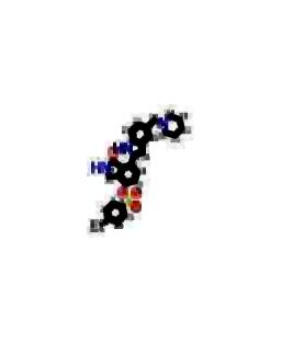 CCc1ccc(S(=O)(=O)Oc2ccc(-c3cc4cc(CN5CCCCC5)ccc4[nH]3)c3c2CNC3=O)cc1